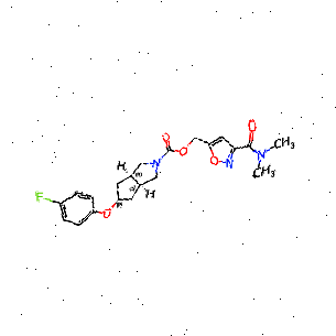 CN(C)C(=O)c1cc(COC(=O)N2C[C@H]3C[C@@H](Oc4ccc(F)cc4)C[C@H]3C2)on1